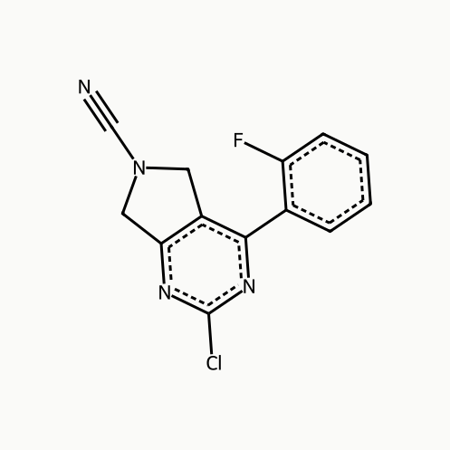 N#CN1Cc2nc(Cl)nc(-c3ccccc3F)c2C1